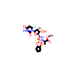 CC(C)OC(=O)C(C)NP(=O)(OC[C@H]1O[C@@H](n2ccc(=O)[nH]c2=O)[C@](F)(Br)[C@@H]1O)Oc1ccccc1